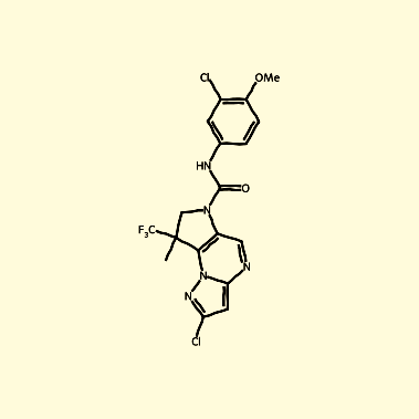 COc1ccc(NC(=O)N2CC(C)(C(F)(F)F)c3c2cnc2cc(Cl)nn32)cc1Cl